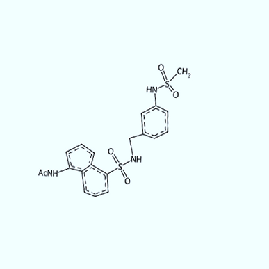 CC(=O)Nc1cccc2c(S(=O)(=O)NCc3cccc(NS(C)(=O)=O)c3)cccc12